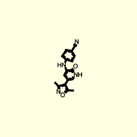 Cc1noc(C)c1-c1c[nH]c(=O)c(Nc2ccc(C#N)cc2)c1